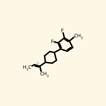 C/C=C(\C)C1CCC(c2ccc(C)c(F)c2F)CC1